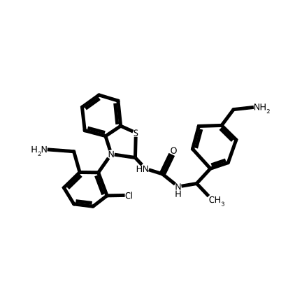 CC(NC(=O)NC1Sc2ccccc2N1c1c(Cl)cccc1CN)c1ccc(CN)cc1